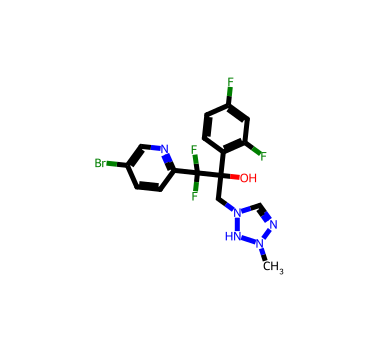 CN1N=CN(CC(O)(c2ccc(F)cc2F)C(F)(F)c2ccc(Br)cn2)N1